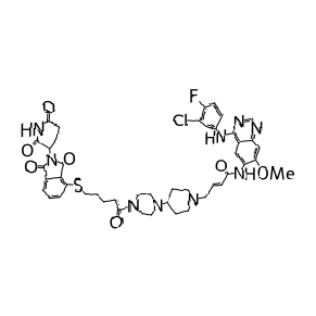 COc1cc2ncnc(Nc3ccc(F)c(Cl)c3)c2cc1NC(=O)/C=C/CN1CCC(N2CCN(C(=O)CCCCSc3cccc4c3C(=O)N(C3CCC(=O)NC3=O)C4=O)CC2)CC1